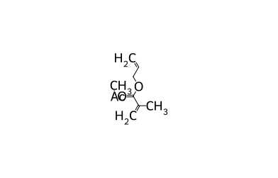 C=CCOC(=O)C(=C)C.CC(C)=O